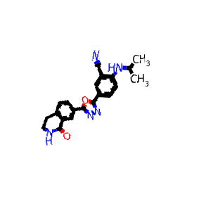 CC(C)Nc1ccc(-c2nnc(-c3ccc4c(c3)C(=O)NCC4)o2)cc1C#N